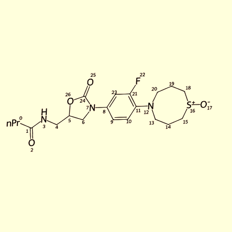 CCCC(=O)NCC1CN(c2ccc(N3CCC[S+]([O-])CCC3)c(F)c2)C(=O)O1